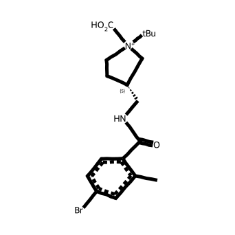 Cc1cc(Br)ccc1C(=O)NC[C@@H]1CC[N+](C(=O)O)(C(C)(C)C)C1